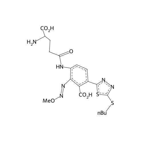 CCCCSc1nnc(-c2ccc(NC(=O)CCC(N)C(=O)O)c(N=NOC)c2C(=O)O)s1